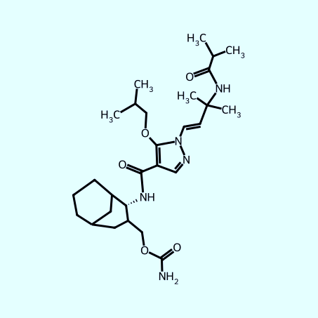 CC(C)COc1c(C(=O)N[C@H]2C3CCCC(C3)CC2COC(N)=O)cnn1/C=C/C(C)(C)NC(=O)C(C)C